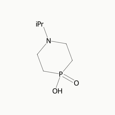 CC(C)N1CCP(=O)(O)CC1